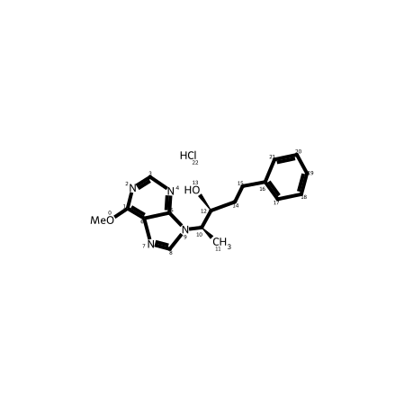 COc1ncnc2c1ncn2[C@H](C)[C@@H](O)CCc1ccccc1.Cl